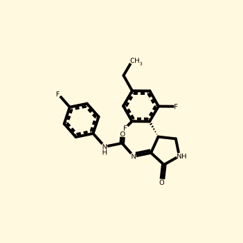 CCc1cc(F)c([C@@H]2CNC(=O)/C2=N/C(=O)Nc2ccc(F)cc2)c(F)c1